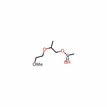 COCCOC(C)CO[SiH](C)O